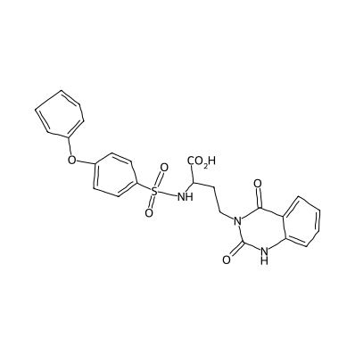 O=C(O)C(CCn1c(=O)[nH]c2ccccc2c1=O)NS(=O)(=O)c1ccc(Oc2ccccc2)cc1